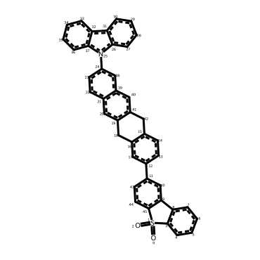 O=S1(=O)c2ccccc2-c2cc(-c3ccc4c(c3)Cc3cc5ccc(-n6c7ccccc7c7ccccc76)cc5cc3C4)ccc21